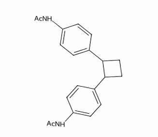 CC(=O)Nc1ccc(C2CCC2c2ccc(NC(C)=O)cc2)cc1